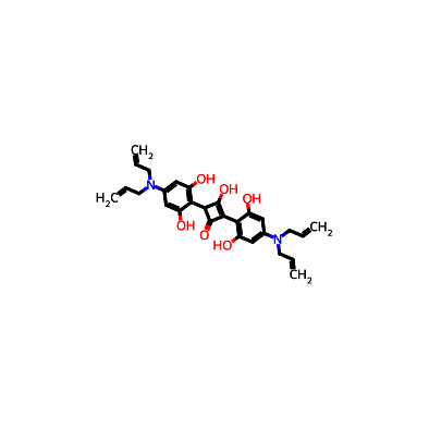 C=CCN(CC=C)c1cc(O)c(C2=C(O)C(c3c(O)cc(N(CC=C)CC=C)cc3O)C2=O)c(O)c1